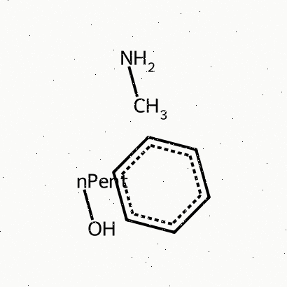 CCCCCO.CN.c1ccccc1